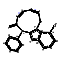 C=C1/C=C\C=C/Cn2c(nc3cccc(Cl)c32)N1c1ccccc1